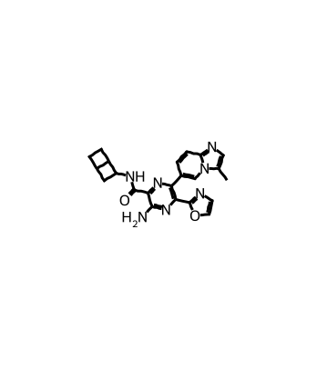 Cc1cnc2ccc(-c3nc(C(=O)NC4CC5CCC54)c(N)nc3-c3ncco3)cn12